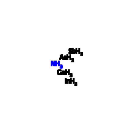 N.[AsH3].[GaH3].[InH3].[SbH3]